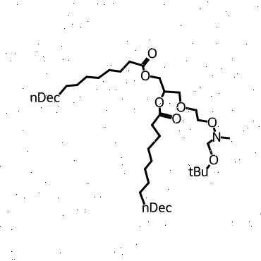 CCCCCCCCCCCCCCCCCC(=O)OCC(COCCON(C)COC(C)(C)C)OC(=O)CCCCCCCCCCCCCCCCC